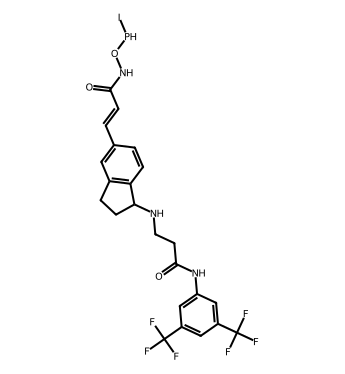 O=C(/C=C/c1ccc2c(c1)CCC2NCCC(=O)Nc1cc(C(F)(F)F)cc(C(F)(F)F)c1)NOPI